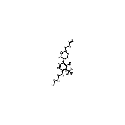 C=CCCC1CCC(c2ccc(CCCCC)c(C(F)(F)F)c2F)CO1